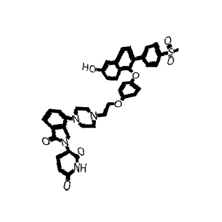 CS(=O)(=O)c1ccc(-c2ccc3cc(O)ccc3c2Oc2ccc(OCCN3CCN(c4cccc5c4CN(C4CCC(=O)NC4=O)C5=O)CC3)cc2)cc1